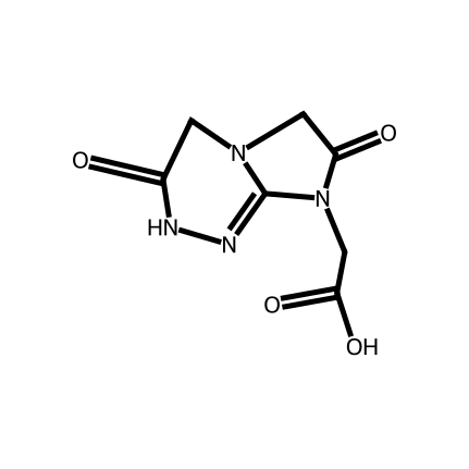 O=C(O)CN1C(=O)CN2CC(=O)NN=C21